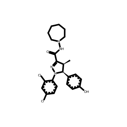 C[C@@H]1C(C(=O)NN2CCCCCC2)=NN(c2ccc(Cl)cc2Cl)[C@@H]1c1ccc(O)cc1